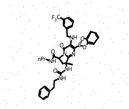 CCCNC(=O)C1CC(C)(NC(=O)NCCc2ccccc2)c2nc(B3Oc4ccccc4O3)c(NCc3cccc(C(F)(F)F)c3)c(=O)n21